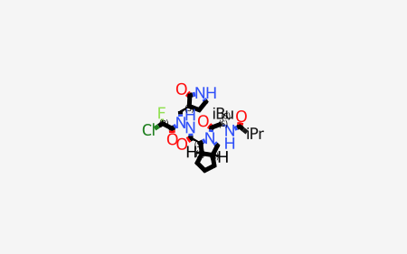 CC[C@H](C)[C@H](NC(=O)C(C)C)C(=O)N1C[C@@H]2CCC[C@@H]2[C@H]1C(=O)NN(C[C@@H]1CCNC1=O)C(=O)[C@H](F)Cl